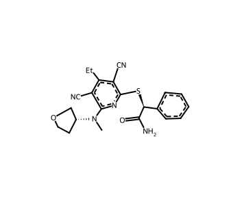 CCc1c(C#N)c(S[C@H](C(N)=O)c2ccccc2)nc(N(C)[C@@H]2CCOC2)c1C#N